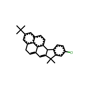 CC(C)(C)c1cc2c3c4c(ccc3c1)C1C(=CC4=CC2)C(C)(C)c2cc(Cl)ccc21